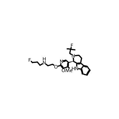 COc1cc(OCCNCCCF)ncc1[C@@H]1c2[nH]c3ccccc3c2CCN1CC(C)(C)F